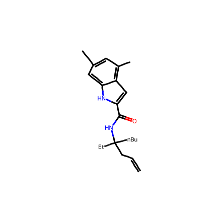 C=CCC(CC)(CCCC)NC(=O)c1cc2c(C)cc(C)cc2[nH]1